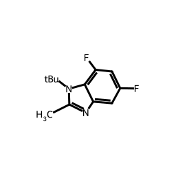 Cc1nc2cc(F)cc(F)c2n1C(C)(C)C